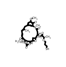 COc1cc2cc(c1Cl)N(C)C(=O)C[C@H](OC(=O)[C@H](C)OCCCS)[C@@]1(C)C[C@@H](O1)[C@@H]1C[C@@](O)(NC(=O)O1)[C@H](OC)/C=C/C=C(\C)C2